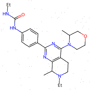 CCNC(=O)Nc1ccc(-c2nc3c(c(N4CCOCC4C)n2)CCN(CC)C3C)cc1